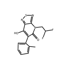 Cc1ccccc1-c1c(O)c2nsnc2n(CC(F)F)c1=O